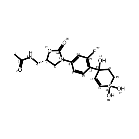 CC(=O)NC[C@H]1CN(c2ccc(C3(O)C=CS(O)(O)CC3)c(F)c2)C(=O)O1